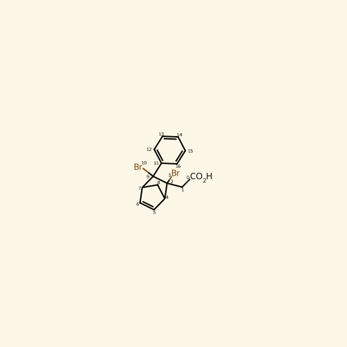 O=C(O)CC1(Br)C2C=CC(C2)C1(Br)c1ccccc1